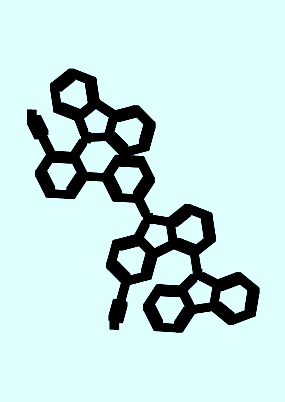 N#Cc1ccc2c(c1)c1c(-n3c4ccccc4c4ccccc43)cccc1n2-c1cccc(-c2cccc(C#N)c2-n2c3ccccc3c3ccccc32)c1